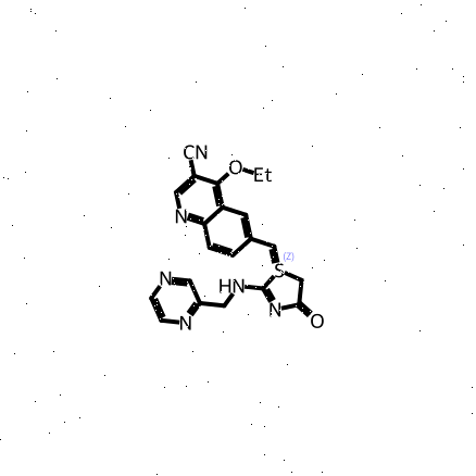 CCOc1c(C#N)cnc2ccc(/C=S3/CC(=O)N=C3NCc3cnccn3)cc12